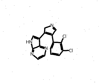 Clc1cccc(C2=C(c3c[nH]c4nccnc34)CN=C2)c1Cl